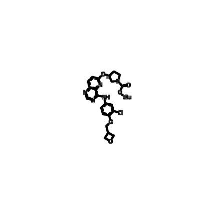 CC(C)(C)OC(=O)N1CC[C@H](Oc2ccc3ncnc(Nc4ccc(OCC5COC5)c(Cl)c4)c3n2)C1